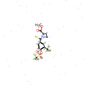 COC(=O)C1CCN1C(=S)c1ccc(OS(=O)(=O)C(F)(F)F)c(C(F)(F)F)c1